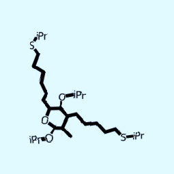 CC(C)O[C@H]1OC(CCCCCCSC(C)C)[C@@H](OC(C)C)C(CCCCCSC(C)C)C1C